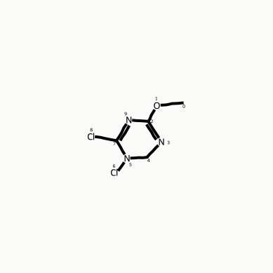 COC1=NCN(Cl)C(Cl)=N1